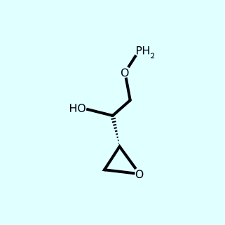 OC(COP)[C@H]1CO1